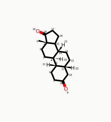 C[C@]12CC[C@@H]3[C@H]4CCC(=O)C[C@H]4CC[C@H]3C1CCC2=O